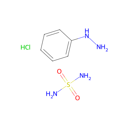 Cl.NNc1ccccc1.NS(N)(=O)=O